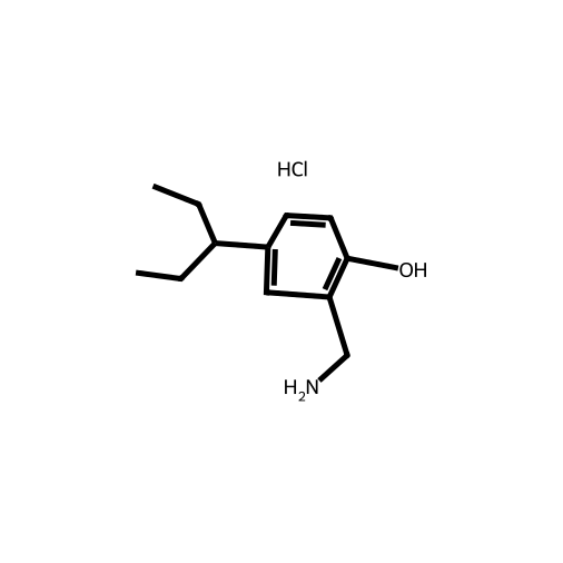 CCC(CC)c1ccc(O)c(CN)c1.Cl